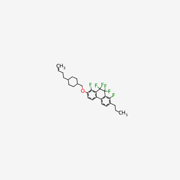 C=CCCC1CCC(COc2ccc3c(c2F)C(F)(F)C(F)(F)c2c-3ccc(CCC)c2F)CC1